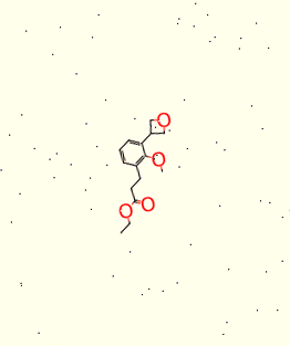 CCOC(=O)CCc1cccc(C2COC2)c1OC